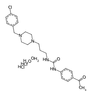 CC(=O)c1ccc(NC(=O)NCCCN2CCN(Cc3ccc(Cl)cc3)CC2)cc1.Cl.Cl.O.O